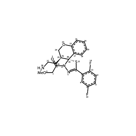 COCC(=O)N1N=C(c2cc(F)ccc2F)S[C@]12c1ccccc1OC[C@@H]2CCN